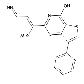 CN/C(=C\C=N)c1nc(O)c2scc(-c3ccccn3)c2n1